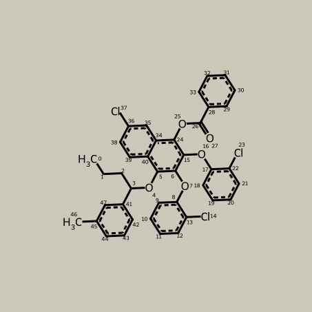 CCCC(Oc1c(Oc2ccccc2Cl)c(Oc2ccccc2Cl)c(OC(=O)c2ccccc2)c2cc(Cl)ccc12)c1cccc(C)c1